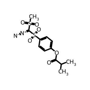 CC(C)C(=O)Oc1ccc(S(=O)(=O)C(=[N+]=[N-])S(C)(=O)=O)cc1